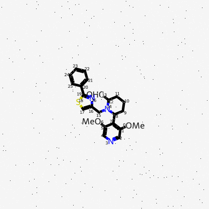 COc1cncc(OC)c1C1CCCC(C=O)N1Cc1csc(-c2ccccc2)n1